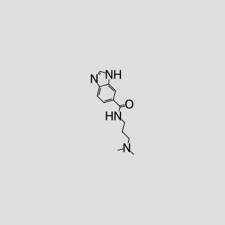 CN(C)CCCNC(=O)c1ccc2nc[nH]c2c1